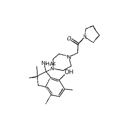 CC(=O)NC1(N2CCN(CC(=O)N3CCCC3)CC2)c2c(O)c(C)cc(C)c2CC1(C)C